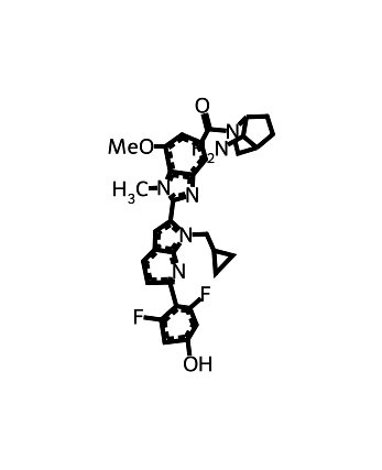 COc1cc(C(=O)N2CC3CCC2C3N)cc2nc(-c3cc4ccc(-c5c(F)cc(O)cc5F)nc4n3CC3CC3)n(C)c12